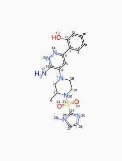 CC1CN(c2cc(-c3ccccc3O)nnc2N)CCN1S(=O)(=O)c1nccn1C